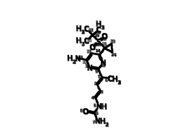 C/C(=C\C=C\NC(N)=O)c1nc(N)cc(C2(S(=O)(=O)C(C)(C)C)CC2)n1